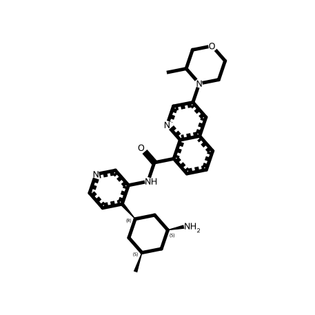 CC1COCCN1c1cnc2c(C(=O)Nc3cnccc3[C@@H]3C[C@H](C)C[C@H](N)C3)cccc2c1